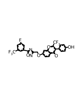 O=c1c(-c2ccc(O)cc2)c(C(F)(F)F)oc2cc(OCc3noc(-c4cc(F)cc(C(F)(F)F)c4)n3)ccc12